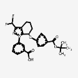 CC(C)(C)OC(=O)c1ccc(OC2CCCc3c(C(F)F)nn(-c4cccc(C(=O)O)c4)c32)cc1